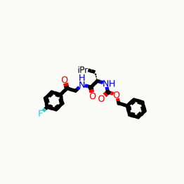 CC(C)C[C@H](NC(=O)OCc1ccccc1)C(=O)NCC(=O)c1ccc(F)cc1